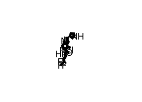 Cc1c(C(=O)NCCSC(F)(F)F)ccc2nn(C[C@@H]3CCNC3)cc12.Cl